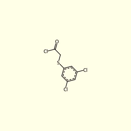 O=C(Cl)CSc1cc(Cl)cc(Cl)c1